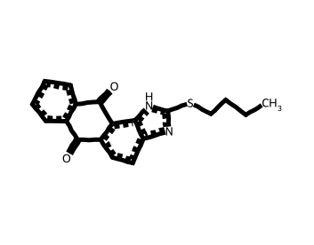 CCCCSc1nc2ccc3c(c2[nH]1)C(=O)c1ccccc1C3=O